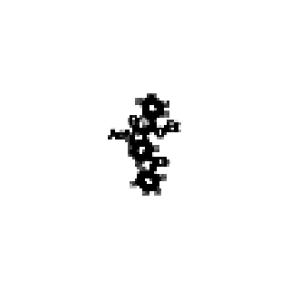 CCOC(=C1C(=O)N(C(C)=O)c2ccc(C(=O)c3ccccc3)cc21)c1ccccc1